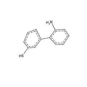 Nc1ccccc1-c1cccc(S)c1